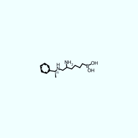 C[C@H](NCC(N)CCCCB(O)O)c1ccccc1